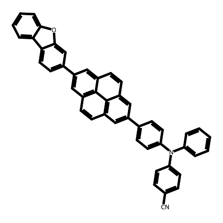 N#Cc1ccc(N(c2ccccc2)c2ccc(-c3cc4ccc5cc(-c6ccc7c(c6)oc6ccccc67)cc6ccc(c3)c4c56)cc2)cc1